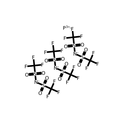 O=S(=O)([N-]S(=O)(=O)C(F)(F)F)C(F)(F)F.O=S(=O)([N-]S(=O)(=O)C(F)(F)F)C(F)(F)F.O=S(=O)([N-]S(=O)(=O)C(F)(F)F)C(F)(F)F.[P+3]